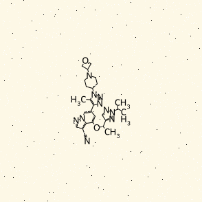 Cc1c(-c2cc(OC(C)c3cnn(C(C)C)n3)c3c(C#N)cnn3c2)nnn1C1CCN(C2COC2)CC1